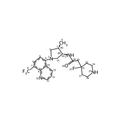 C[C@@H]1CN(c2ccc(C(F)(F)F)c3ncccc23)C[C@@H]1NC(=O)CC1(F)CCNCC1